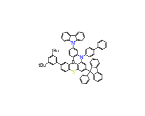 CC(C)(C)c1cc(-c2ccc3c(c2)B2c4ccc(-n5c6ccccc6c6ccccc65)cc4N(c4ccc(-c5ccccc5)cc4)c4cc(C5(c6ccccc6)c6ccccc6-c6ccccc65)cc(c42)S3)cc(C(C)(C)C)c1